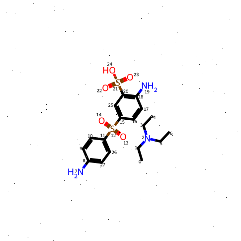 CCN(CC)CC.Nc1ccc(S(=O)(=O)c2ccc(N)c(S(=O)(=O)O)c2)cc1